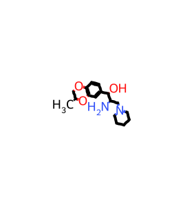 C[C@H]1COc2ccc([C@@H](O)[C@H](N)CN3CCCCC3)cc2O1